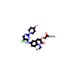 CNC(=O)COc1cc2cc(Nc3nc(N4CCC(I)CC4)ncc3Cl)ccc2n(CC(C)C)c1=O